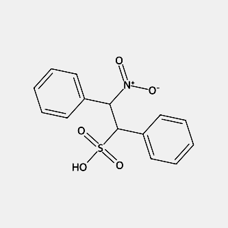 O=[N+]([O-])C(c1ccccc1)C(c1ccccc1)S(=O)(=O)O